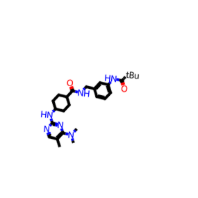 Cc1cnc(NC2CCC(C(=O)NCc3cccc(NC(=O)C(C)(C)C)c3)CC2)nc1N(C)C